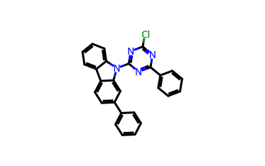 Clc1nc(-c2ccccc2)nc(-n2c3ccccc3c3ccc(-c4ccccc4)cc32)n1